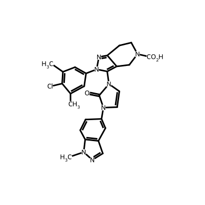 Cc1cc(-n2nc3c(c2-n2ccn(-c4ccc5c(cnn5C)c4)c2=O)CN(C(=O)O)CC3)cc(C)c1Cl